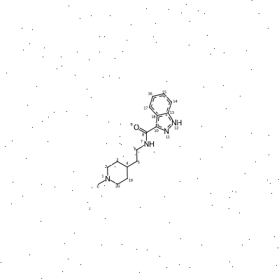 CN1CCC(CCNC(=O)c2n[nH]c3ccccc23)CC1